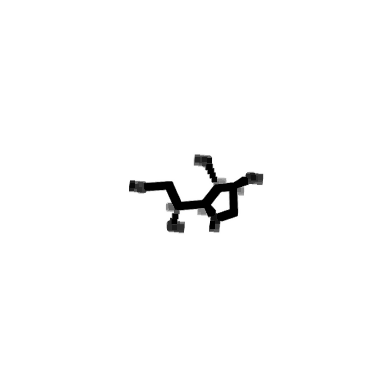 OC[C@@H](O)[C@@H]1NC[C@H](O)[C@H]1O